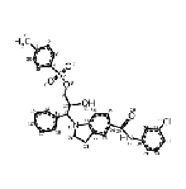 Cc1ccc(S(=O)(=O)OC[C@@H](O)[C@H](c2ccccc2)N2CCc3cc(C(=O)Nc4cccc(Cl)c4)ccc32)cc1